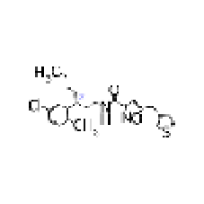 CCC/C=C(/CCNC(=O)c1cc(Cc2ccsc2)on1)c1cc(Cl)ccc1C